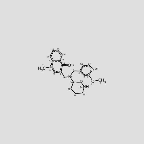 COc1cc(CN(Cc2cn(C)c3ccccc3c2=O)C2CCCNC2)ccn1